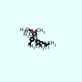 C/C=C(/C)CCCC/C=C(\N=C(\C)C(C)CC)Oc1cc(C#N)ccc1C(/N=C\C(=C/C)CCCCC)=C(\C)CC